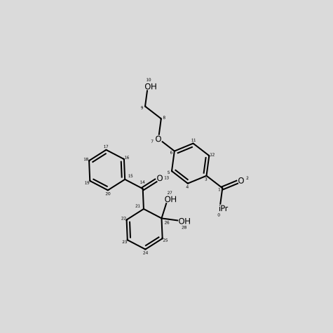 CC(C)C(=O)c1ccc(OCCO)cc1.O=C(c1ccccc1)C1C=CC=CC1(O)O